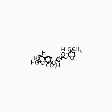 C[N+]1(C)CCO[C@@H](CC(=O)N2CC(Oc3ccc4c(c3C(=O)O)OB(O)[C@H]3C[C@@H]43)C2)C1